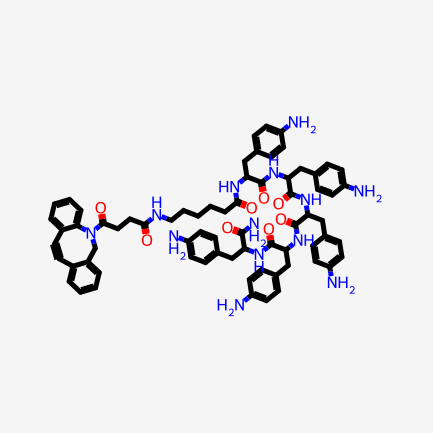 NC(=O)C(Cc1ccc(N)cc1)NC(=O)C(Cc1ccc(N)cc1)NC(=O)C(Cc1ccc(N)cc1)NC(=O)C(Cc1ccc(N)cc1)NC(=O)C(Cc1ccc(N)cc1)NC(=O)CCCCCNC(=O)CCC(=O)N1Cc2ccccc2C#Cc2ccccc21